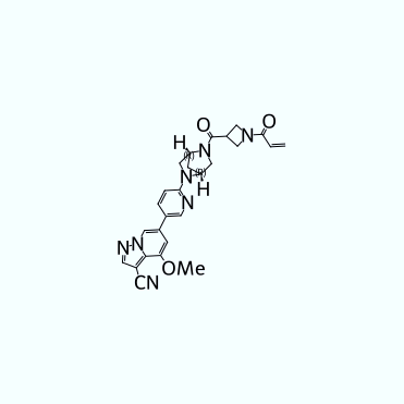 C=CC(=O)N1CC(C(=O)N2C[C@H]3C[C@@H]2CN3c2ccc(-c3cc(OC)c4c(C#N)cnn4c3)cn2)C1